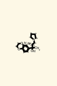 CC(O)(c1ccc2c(c1)OCCO2)[C@H](N)CN1CCCC1